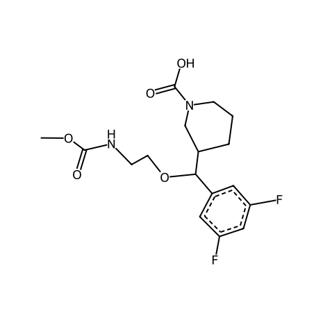 COC(=O)NCCOC(c1cc(F)cc(F)c1)C1CCCN(C(=O)O)C1